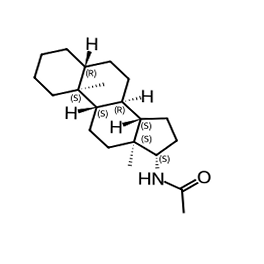 CC(=O)N[C@H]1CC[C@H]2[C@@H]3CC[C@H]4CCCC[C@]4(C)[C@H]3CC[C@]12C